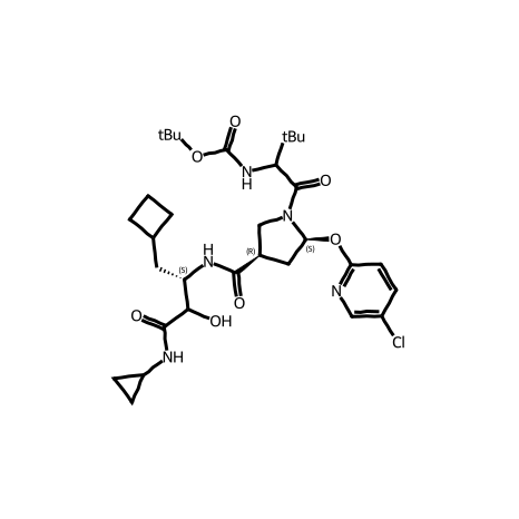 CC(C)(C)OC(=O)NC(C(=O)N1C[C@H](C(=O)N[C@@H](CC2CCC2)C(O)C(=O)NC2CC2)C[C@@H]1Oc1ccc(Cl)cn1)C(C)(C)C